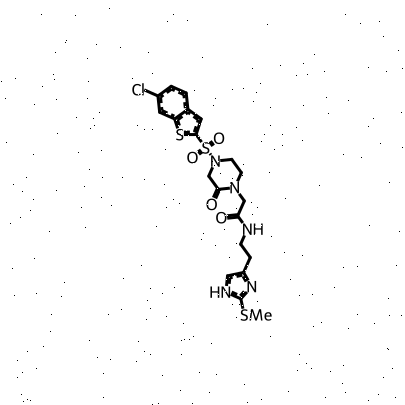 CSc1nc(CCNC(=O)CN2CCN(S(=O)(=O)c3cc4ccc(Cl)cc4s3)CC2=O)c[nH]1